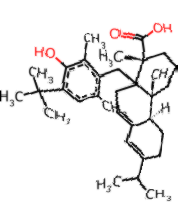 Cc1cc(C(C)(C)C)c(O)c(C)c1CC12CC=C3C=C(C(C)C)CC[C@@H]3[C@@]1(C)CCC[C@@]2(C)C(=O)O